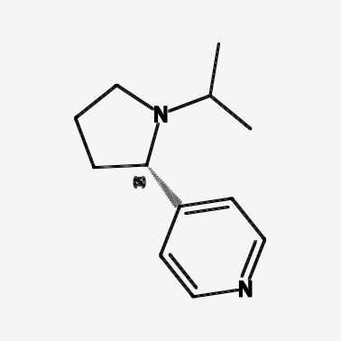 CC(C)N1CCC[C@H]1c1ccncc1